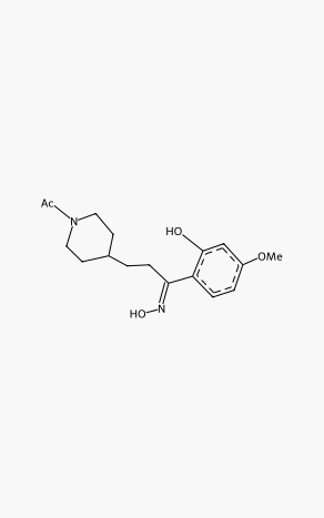 COc1ccc(C(CCC2CCN(C(C)=O)CC2)=NO)c(O)c1